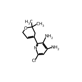 CC1(C)CC(c2nc(Cl)cc(N)c2N)=CCO1